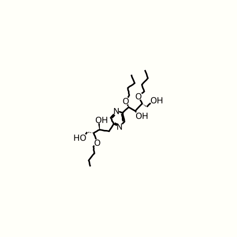 CCCCO[C@H](c1cnc(C[C@H](O)[C@@H](CO)OCCCC)cn1)[C@H](O)[C@@H](CO)OCCCC